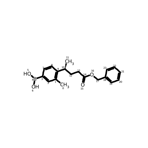 Cc1cc(B(O)O)ccc1[C@@H](C)CCC(=O)OCc1ccccc1